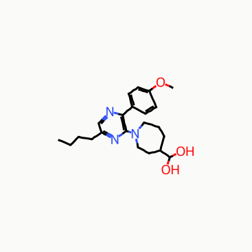 CCCCc1cnc(-c2ccc(OC)cc2)c(N2CCCC(C(O)O)CC2)n1